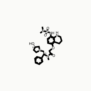 CN(C(=O)COc1ccc(NS(=O)(=O)N(C)C)c2c1CCCN2)[C@H](CN1CC[C@H](O)C1)c1ccccc1